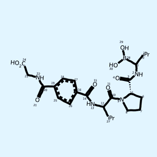 CC(C)C(NC(=O)[C@@H]1CCCN1C(=O)C(NC(=O)c1ccc(C(=O)NCC(=O)O)cc1)C(C)C)B(O)O